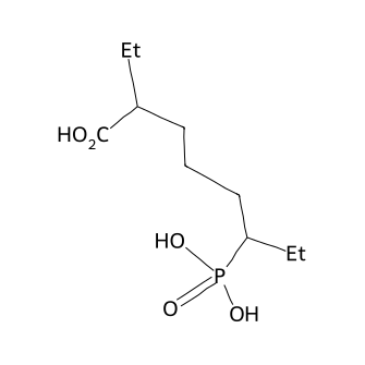 CCC(CCCC(CC)P(=O)(O)O)C(=O)O